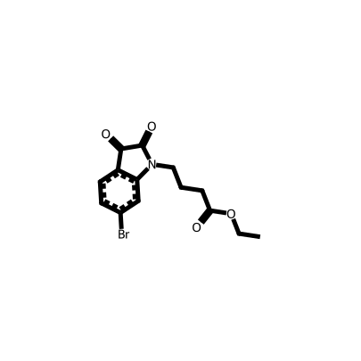 CCOC(=O)CCCN1C(=O)C(=O)c2ccc(Br)cc21